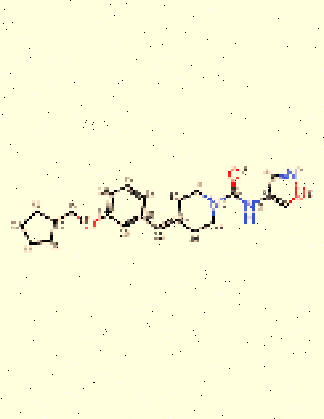 O=C(Nc1cnoc1)N1CCC(=Cc2cccc(OCC3CCCC3)c2)CC1